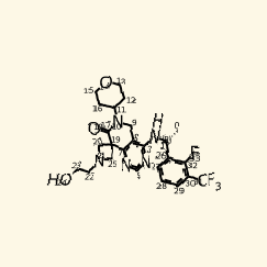 C[C@@H](Nc1ncnc2c1CN(C1CCOCC1)C(=O)C21CN(CCO)C1)c1cccc(C(F)(F)F)c1F